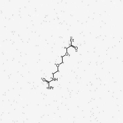 CCCC(=O)NCCOCCOCC(=O)CC